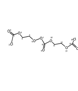 O=C(Cl)OCCOOC(=O)OCCOC(=O)Cl